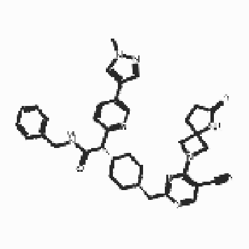 Cn1cc(-c2ccc(C(C(=O)NCc3ccccc3)[C@H]3CC[C@H](Cc4ncc(C#N)c(N5CC6(CCC(=O)N6)C5)n4)CC3)nc2)cn1